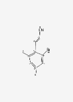 Cc1cc(C)c(/C=C/C#N)c(Br)c1